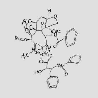 CC(=O)O[C@H]1C(=O)[C@@]2(C)[C@H]([C@H](OC(=O)c3ccccc3)[C@]3(O)C[C@H](OC(=O)[C@H](O)C(NC(=O)c4ccccc4)c4ccccc4)C(C)=C1C3(C)C)[C@]1(OC(C)=O)CO[C@@H]1C[C@@H]2C